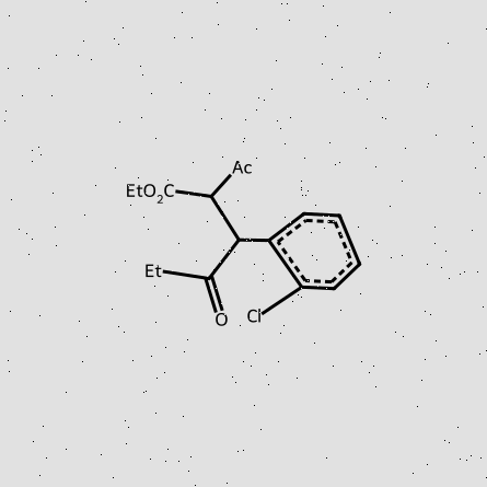 CCOC(=O)C(C(C)=O)C(C(=O)CC)c1ccccc1Cl